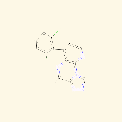 Cc1nc2c(-c3c(Cl)cccc3Cl)ccnc2n2cnnc12